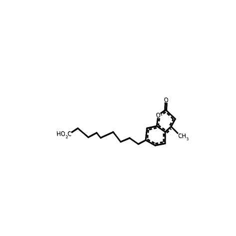 Cc1cc(=O)oc2cc(CCCCCCCCC(=O)O)ccc12